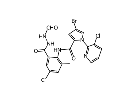 Cc1cc(Cl)cc(C(=O)NNC=O)c1NC(=O)c1cc(Br)cn1-c1ncccc1Cl